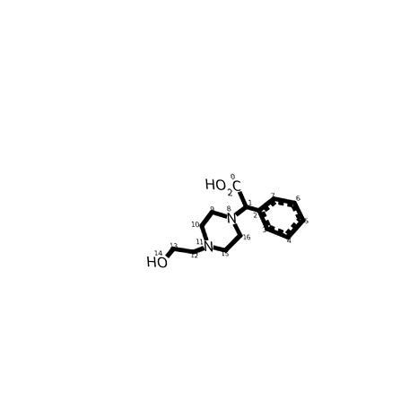 O=C(O)C(c1ccccc1)N1CCN(CCO)CC1